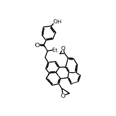 CCC(Cc1cc2ccc(C3CO3)c3c4cccc5ccc(C6CO6)c(c(c1)c23)c54)C(=O)c1ccc(O)cc1